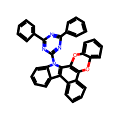 c1ccc(-c2nc(-c3ccccc3)nc(-n3c4ccccc4c4c5ccccc5c5c(c43)Oc3ccccc3O5)n2)cc1